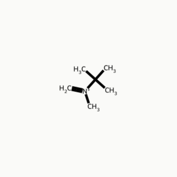 C=[N+](C)C(C)(C)C